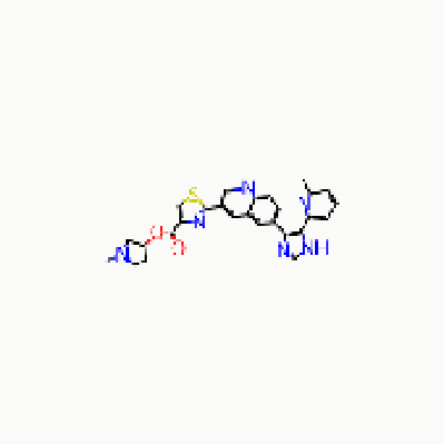 Cc1cccc(-c2[nH]cnc2-c2ccc3ncc(-c4nc(C(=O)O[C@H]5CCN(C)C5)cs4)cc3c2)n1